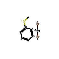 CSc1[c]cccc1.[Br][Mg][Br]